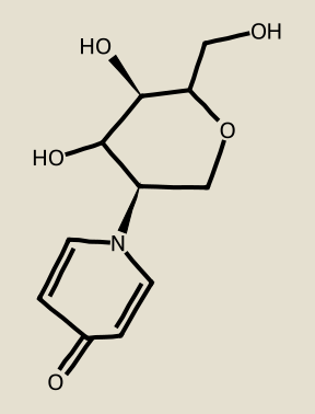 O=c1ccn([C@@H]2COC(CO)[C@H](O)C2O)cc1